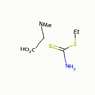 CCSC(N)=S.CNCC(=O)O